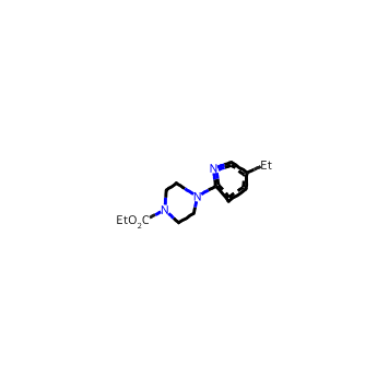 CCOC(=O)N1CCN(c2ccc(CC)cn2)CC1